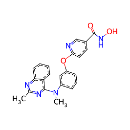 Cc1nc(N(C)c2cccc(Oc3ccc(C(=O)NO)cn3)c2)c2ccccc2n1